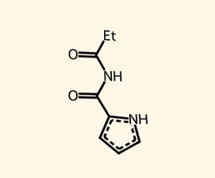 CCC(=O)NC(=O)c1ccc[nH]1